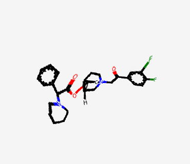 O=C(C[N+]12CCC(CC1)[C@@H](OC(=O)C(c1ccccc1)N1CCCCC1)C2)c1ccc(F)c(F)c1